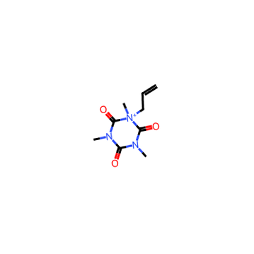 C=CC[N+]1(C)C(=O)N(C)C(=O)N(C)C1=O